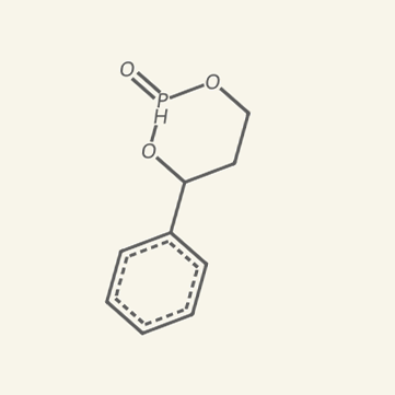 O=[PH]1OCCC(c2ccccc2)O1